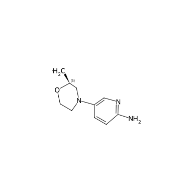 [CH2][C@H]1CN(c2ccc(N)nc2)CCO1